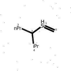 C=[SiH]C(CCC)C(C)C